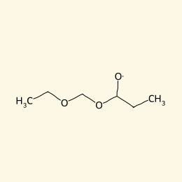 CCOCOC([O])CC